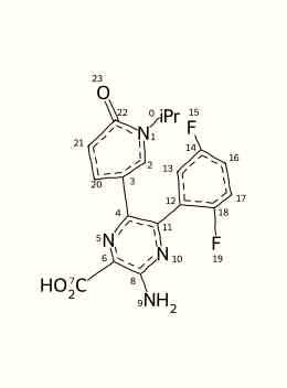 CC(C)n1cc(-c2nc(C(=O)O)c(N)nc2-c2cc(F)ccc2F)ccc1=O